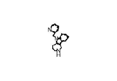 c1ccc(Cn2c3c(c4ccccc42)CNCCC3)nc1